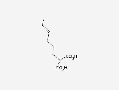 CC=CCCCC(C(=O)O)C(=O)O